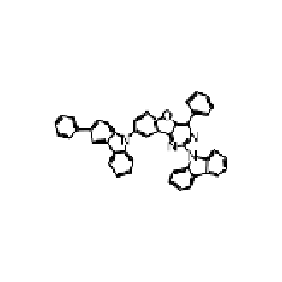 c1ccc(-c2ccc3c(c2)c2ccccc2n3-c2ccc3oc4c(-c5ccccc5)nc(-n5c6ccccc6c6ccccc65)nc4c3c2)cc1